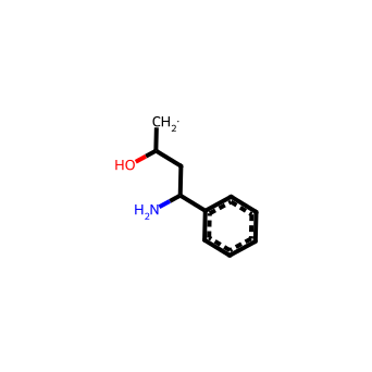 [CH2]C(O)CC(N)c1ccccc1